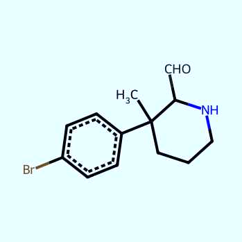 CC1(c2ccc(Br)cc2)CCCNC1C=O